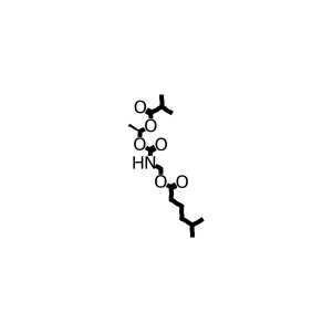 CC(C)CCCC(=O)OCNC(=O)O[C@@H](C)OC(=O)C(C)C